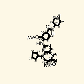 CON=C1N(C)c2cnc(Nc3ccc(C(=O)NC4CCN(C)CC4)cc3OC)nc2N(C2CCCC2)CC1(F)F